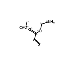 C=CC(=O)OCN.CC=O